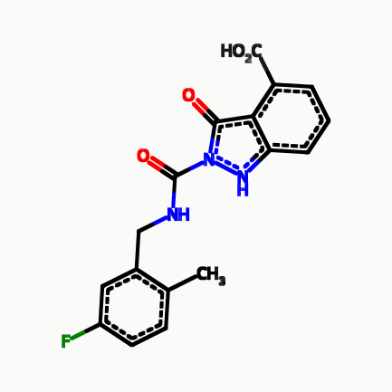 Cc1ccc(F)cc1CNC(=O)n1[nH]c2cccc(C(=O)O)c2c1=O